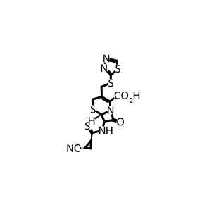 N#C[C@H]1C[C@@H]1C(=S)NC1C(=O)N2C(C(=O)O)=C(CSc3nncs3)CS[C@@H]12